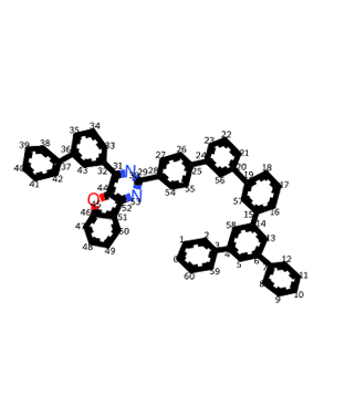 c1ccc(-c2cc(-c3ccccc3)cc(-c3cccc(-c4cccc(-c5ccc(-c6nc(-c7cccc(-c8ccccc8)c7)c7oc8ccccc8c7n6)cc5)c4)c3)c2)cc1